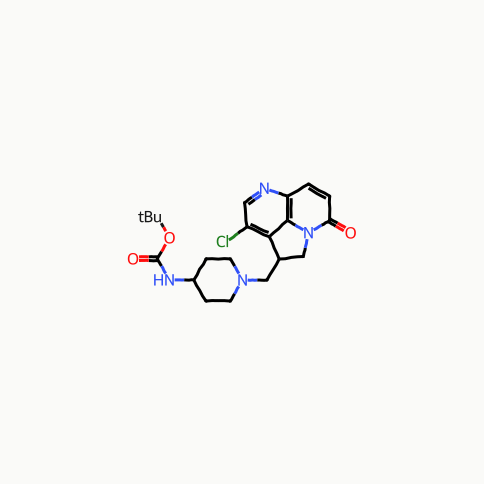 CC(C)(C)OC(=O)NC1CCN(CC2Cn3c(=O)ccc4ncc(Cl)c2c43)CC1